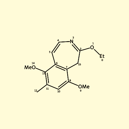 CCOC1=NC=Cc2c(c(OC)cc(C)c2OC)C1